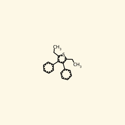 CCc1sc(CC)c(-c2ccccc2)c1-c1ccccc1